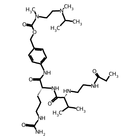 CCC(=O)NCCN[C@@H](C(=O)N[C@H](CCCNC(N)=O)C(=O)Nc1ccc(COC(=O)N(C)CCN(C)C(C)C)cc1)C(C)C